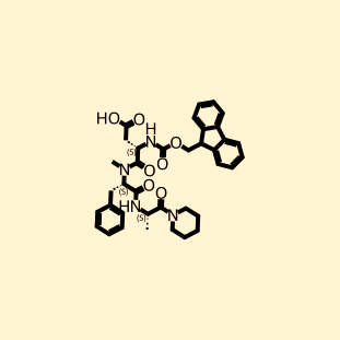 C[C@H](NC(=O)[C@H](Cc1ccccc1)N(C)C(=O)[C@H](CC(=O)O)NC(=O)OCC1c2ccccc2-c2ccccc21)C(=O)N1CCCCC1